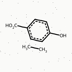 CC.O=C(O)c1ccc(O)cc1